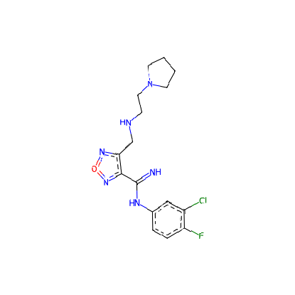 N=C(Nc1ccc(F)c(Cl)c1)c1nonc1CNCCN1CCCC1